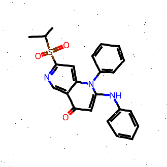 CC(C)S(=O)(=O)c1cc2c(cn1)c(=O)cc(Nc1ccccc1)n2-c1ccccc1